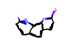 Ic1ccc2ccc3ccc(I)nc3c2n1